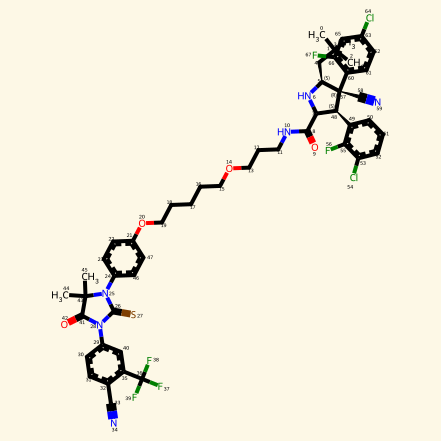 CC(C)(C)C[C@@H]1NC(C(=O)NCCCOCCCCCOc2ccc(N3C(=S)N(c4ccc(C#N)c(C(F)(F)F)c4)C(=O)C3(C)C)cc2)[C@H](c2cccc(Cl)c2F)[C@@]1(C#N)c1ccc(Cl)cc1F